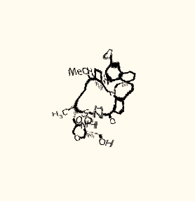 COC1CCC[C@H](C)[C@@H](CC2COC[C@@H](CO)N2)S(=O)(=O)NC(=O)c2ccc3c(c2)N(C[C@@H]2CC[C@@H]12)C[C@@]1(CCCc2cc(Cl)ccc21)CC3